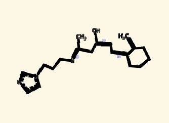 C=C1CCCC/C1=C/C=C(/O)C/C(C)=N/CCCn1ccnc1